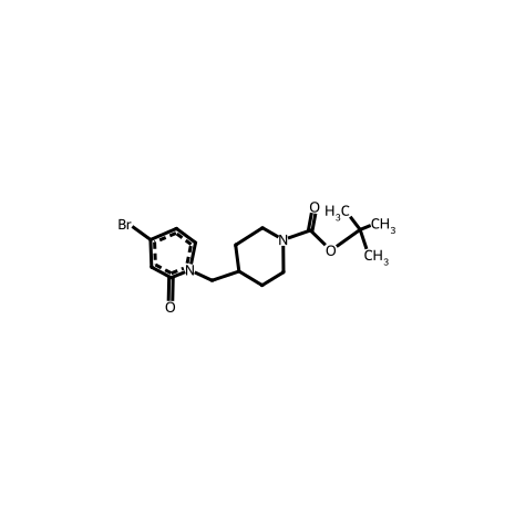 CC(C)(C)OC(=O)N1CCC(Cn2ccc(Br)cc2=O)CC1